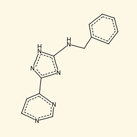 c1ccc(CNc2nc(-c3ccncn3)n[nH]2)cc1